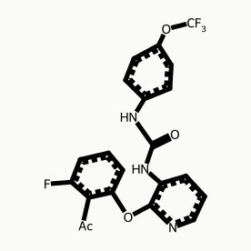 CC(=O)c1c(F)cccc1Oc1ncccc1NC(=O)Nc1ccc(OC(F)(F)F)cc1